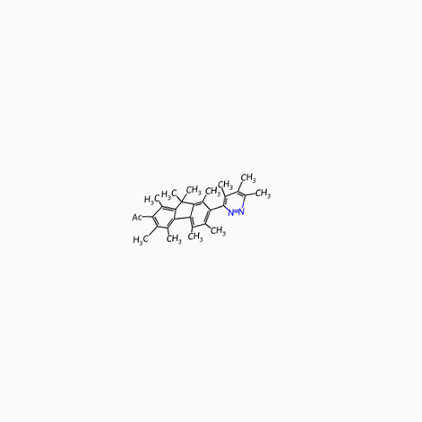 CC(=O)c1c(C)c(C)c2c(c1C)C(C)(C)c1c(C)c(-c3nnc(C)c(C)c3C)c(C)c(C)c1-2